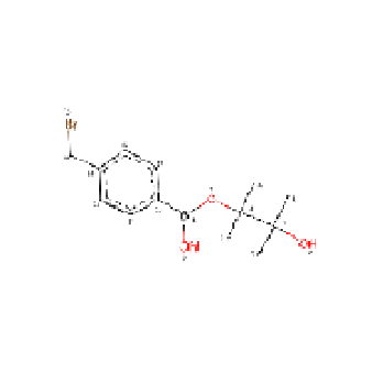 CC(C)(O)C(C)(C)OB(O)c1ccc(CBr)cc1